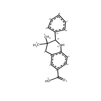 CC1(C)Cc2cc(C(=O)O)ccc2NC1c1ccccc1